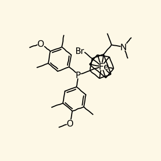 COc1c(C)cc(P(c2cc(C)c(OC)c(C)c2)[C]23[CH]4[CH]5[C]6(C(C)N(C)C)[C]2(Br)[Fe]54632789[CH]3[CH]2[CH]7[CH]8[CH]39)cc1C